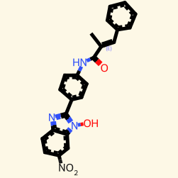 C/C(=C\c1ccccc1)C(=O)Nc1ccc(-c2nc3ccc([N+](=O)[O-])cc3n2O)cc1